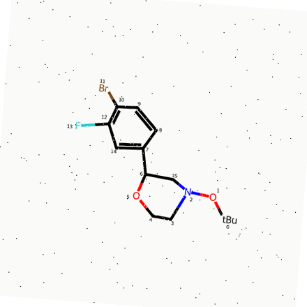 CC(C)(C)ON1CCOC(c2ccc(Br)c(F)c2)C1